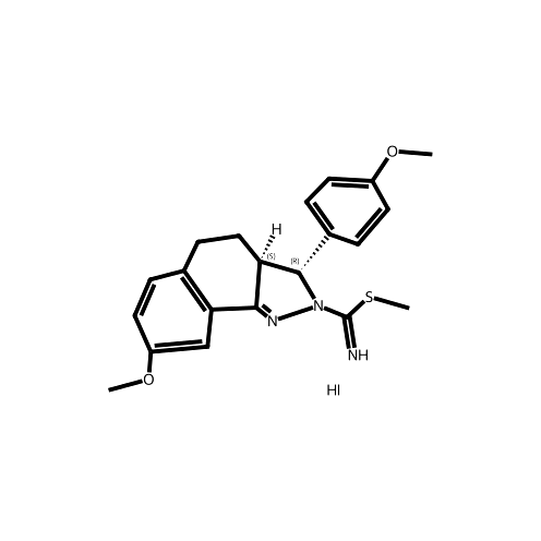 COc1ccc([C@H]2[C@@H]3CCc4ccc(OC)cc4C3=NN2C(=N)SC)cc1.I